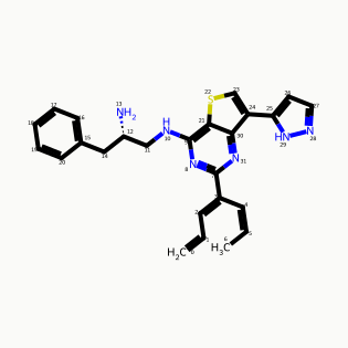 C=C/C=C(\C=C/C)c1nc(NC[C@@H](N)Cc2ccccc2)c2scc(-c3ccn[nH]3)c2n1